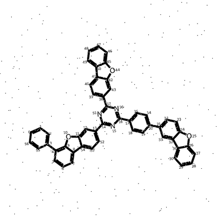 c1ccc(-c2cccc3c2oc2cc(-c4nc(-c5ccc(-c6ccc7oc8ccccc8c7c6)cc5)nc(-c5ccc6c(c5)oc5ccccc56)n4)ccc23)cc1